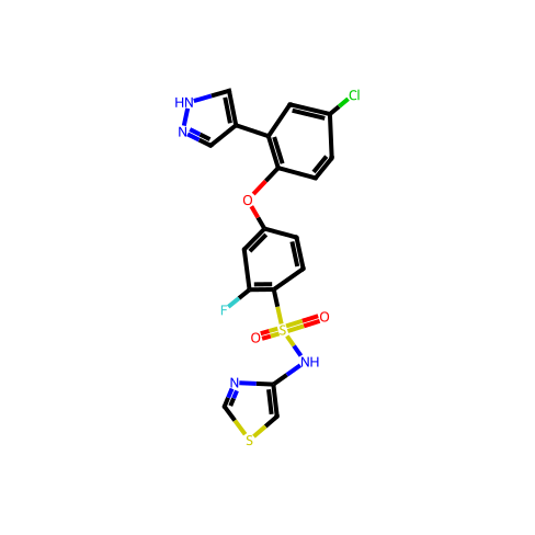 O=S(=O)(Nc1cscn1)c1ccc(Oc2ccc(Cl)cc2-c2cn[nH]c2)cc1F